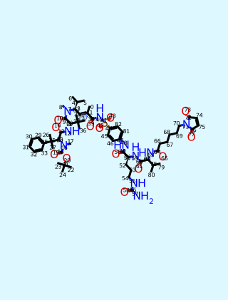 C/C(=C\[C@H](C(C)C)N(C)C(=O)[C@@H](NC(=O)[C@@H](N(C)C(=O)OC(C)(C)C)C(C)(C)c1ccccc1)C(C)(C)C)C(=O)NS(=O)(=O)c1ccc(NC(=O)[C@H](CCCNC(N)=O)NC(=O)[C@@H](NC(=O)CCCCCN2C(=O)C=CC2=O)C(C)C)cc1